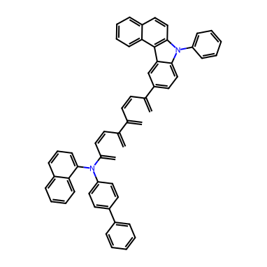 C=C(/C=C\C(=C)c1ccc2c(c1)c1c3ccccc3ccc1n2-c1ccccc1)C(=C)/C=C\C(=C)N(c1ccc(-c2ccccc2)cc1)c1cccc2ccccc12